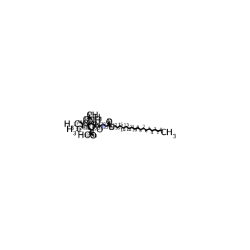 CCCCCCCCCCCCCCCCCCOC(=O)/C=C/C(=O)N[C@H]1CC(C(=O)O)=C[C@H](OC(CC)CC)[C@@H]1NC(C)=O